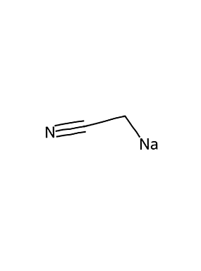 N#C[CH2][Na]